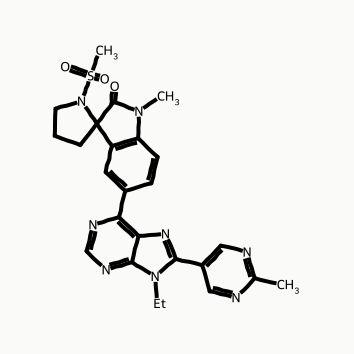 CCn1c(-c2cnc(C)nc2)nc2c(-c3ccc4c(c3)C3(CCCN3S(C)(=O)=O)C(=O)N4C)ncnc21